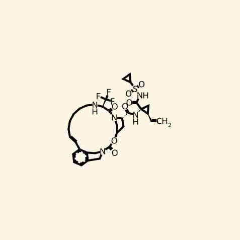 C=C[C@@H]1C[C@]1(NC(=O)[C@@H]1CC2CN1C(=O)[C@H](C(F)(F)F)NCCCCC/C=C/c1cccc3c1CN(C3)C(=O)O2)C(=O)NS(=O)(=O)C1CC1